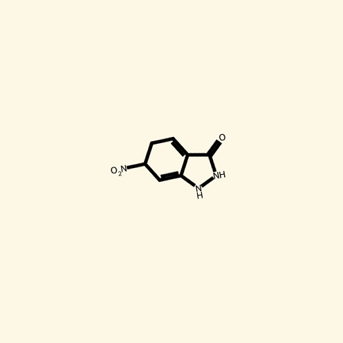 O=c1[nH][nH]c2c1=CCC([N+](=O)[O-])C=2